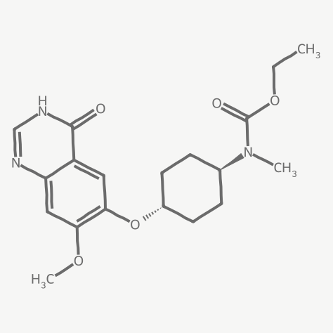 CCOC(=O)N(C)[C@H]1CC[C@H](Oc2cc3c(=O)[nH]cnc3cc2OC)CC1